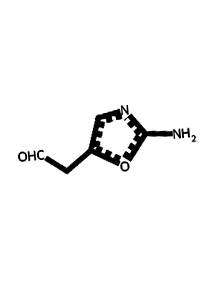 Nc1ncc(CC=O)o1